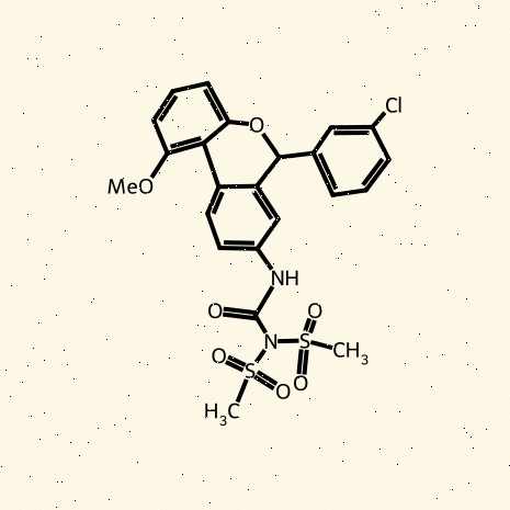 COc1cccc2c1-c1ccc(NC(=O)N(S(C)(=O)=O)S(C)(=O)=O)cc1C(c1cccc(Cl)c1)O2